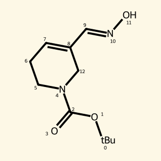 CC(C)(C)OC(=O)N1CCC=C(C=NO)C1